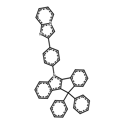 c1ccc(C2(c3ccccc3)c3ccccc3-c3c2c2ccccc2n3-c2ccc(-c3cn4ccccc4n3)cc2)cc1